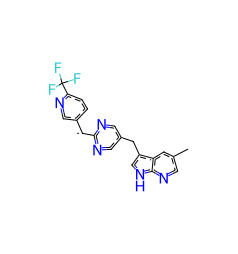 Cc1cnc2[nH]cc(Cc3cnc([CH]c4ccc(C(F)(F)F)nc4)nc3)c2c1